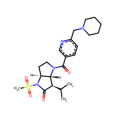 CC(C)[C@H]1C(=O)N(S(C)(=O)=O)[C@H]2CCN(C(=O)c3ccc(CN4CCCCC4)nc3)[C@H]12